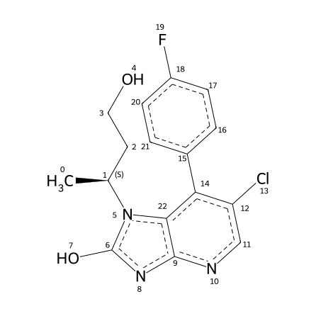 C[C@@H](CCO)n1c(O)nc2ncc(Cl)c(-c3ccc(F)cc3)c21